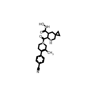 CC1=C(c2ccc(C#N)cc2)CCN(C(=O)C2NCC3(CC3)CC2C(=O)NO)C1